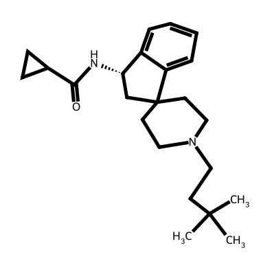 CC(C)(C)CCN1CCC2(CC1)C[C@H](NC(=O)C1CC1)c1ccccc12